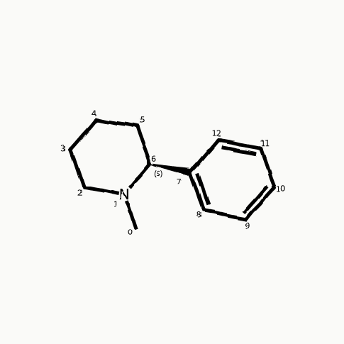 CN1CCCC[C@H]1c1ccccc1